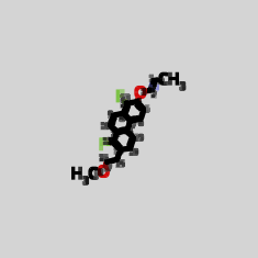 C/C=C/Oc1ccc2c(ccc3c(F)c(CCOC)ccc32)c1F